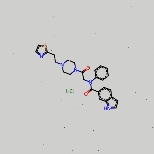 Cl.O=C(CN(C(=O)c1ccc2cc[nH]c2c1)c1ccccc1)N1CCN(CCc2nccs2)CC1